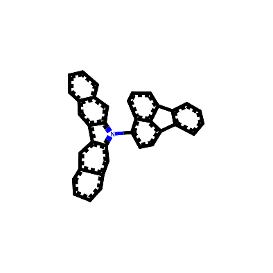 c1ccc2c(c1)-c1cccc3c(-n4c5cc6ccccc6cc5c5cc6ccccc6cc54)ccc-2c13